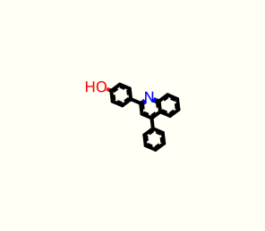 Oc1ccc(-c2cc(-c3ccccc3)c3ccccc3n2)cc1